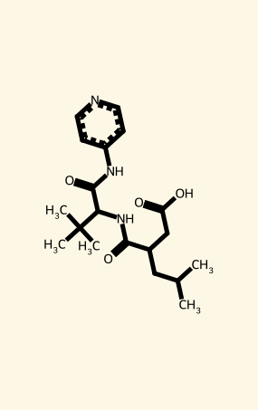 CC(C)CC(CC(=O)O)C(=O)NC(C(=O)Nc1ccncc1)C(C)(C)C